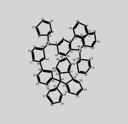 c1ccc(-c2cc(N(c3ccccc3)c3cccc(-c4cccc(C5(c6ccccc6)c6ccccc6-c6ccccc65)c4)c3)ccc2N(c2ccccc2)c2ccccc2)cc1